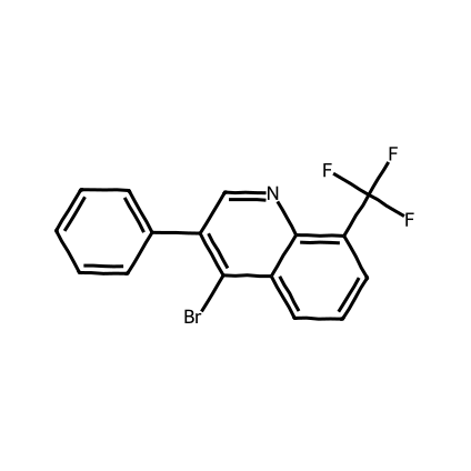 FC(F)(F)c1cccc2c(Br)c(-c3ccccc3)cnc12